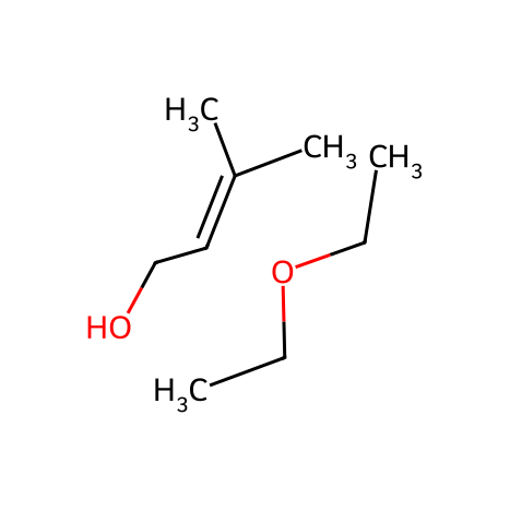 CC(C)=CCO.CCOCC